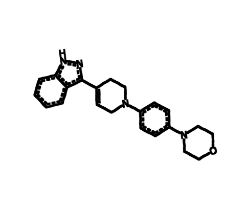 C1=C(c2n[nH]c3ccccc23)CCN(c2ccc(N3CCOCC3)cc2)C1